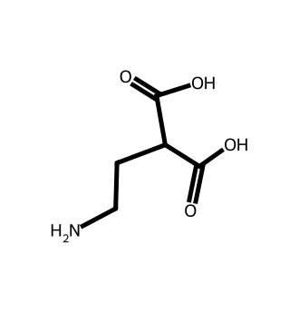 NCCC(C(=O)O)C(=O)O